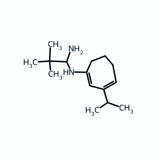 CC(C)C1=CCCCC(NC(N)C(C)(C)C)=C1